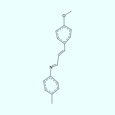 COc1ccc(/C=C/C=N/c2ccc(C)cc2)cc1